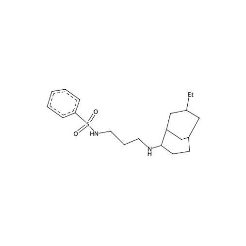 CCC1CC2CCC(NCCCNS(=O)(=O)c3ccccc3)C(C1)C2